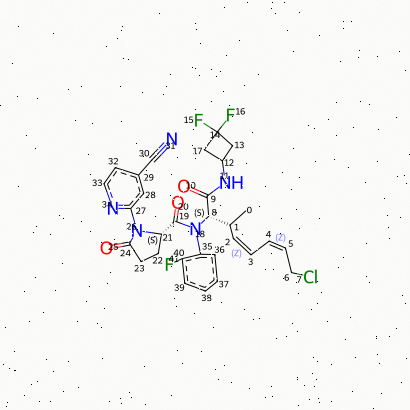 CC(/C=C\C=C/CCl)[C@@H](C(=O)NC1CC(F)(F)C1)N(C(=O)[C@@H]1CCC(=O)N1c1cc(C#N)ccn1)c1ccccc1F